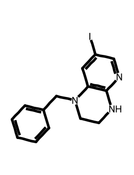 Ic1cnc2c(c1)N(Cc1ccccc1)CCN2